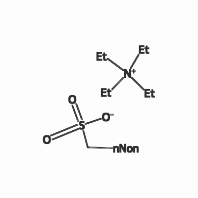 CCCCCCCCCCS(=O)(=O)[O-].CC[N+](CC)(CC)CC